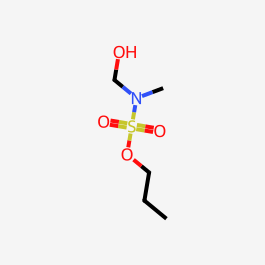 CCCOS(=O)(=O)N(C)CO